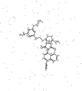 COCc1cc(OCCC23CCC(C)(O2)C2C(=O)N(c4ccc(C#N)c5ccccc45)C(=O)C23)nc(N)n1